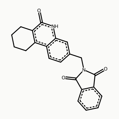 O=C1c2ccccc2C(=O)N1Cc1ccc2c3c(c(=O)[nH]c2c1)CCCC3